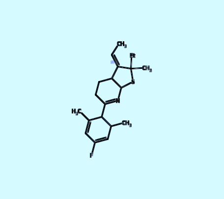 C/C=C1/C2CCC(C3C(C)=CC(F)=CC3C)=NC2SC1(C)CC